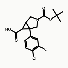 CC(C)(C)OC(=O)N1CC2C(C(=O)O)C2(c2ccc(Cl)c(Cl)c2)C1